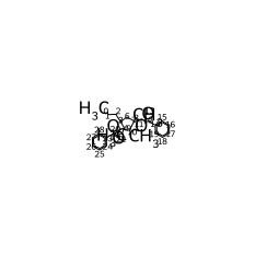 CCCC(CC)(CC(C)(CC)OC(=O)c1ccccc1)OC(=O)c1ccccc1